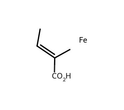 CC=C(C)C(=O)O.[Fe]